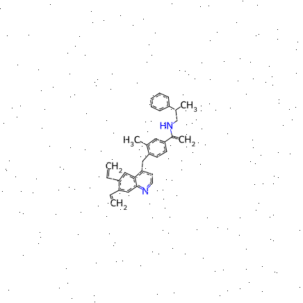 C=Cc1cc2nccc(Cc3ccc(C(=C)NCC(C)c4ccccc4)cc3C)c2cc1C=C